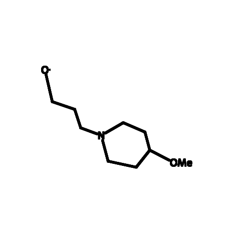 COC1CCN(CCC[O])CC1